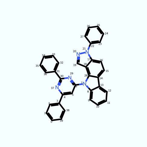 c1ccc(-c2cc(-n3c4ccccc4c4ccc5c(cnn5-c5ccccc5)c43)nc(-c3ccccc3)n2)cc1